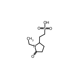 CCN1C(=O)CCC1CCS(=O)(=O)O